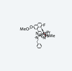 COCOc1cc(-c2cc3nc(SC)ncc3c(N(C)CCc3ccccc3)n2)c2c(C#C[Si](C(C)C)(C(C)C)C(C)C)c(F)ccc2c1